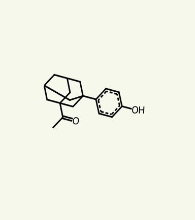 CC(=O)C12CC3CC(C1)CC(c1ccc(O)cc1)(C3)C2